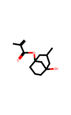 C=C(C)C(=O)OC12CCCC(O)(CC(C)C1)C2